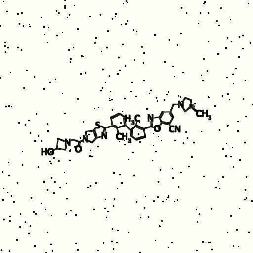 Cc1c(-c2nc3cc(CN4CC[C@@H](C)C4)cc(C#N)c3o2)cccc1-c1cccc(-c2nc3c(s2)CN(C(=O)CN2CC(O)C2)C3)c1C